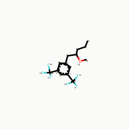 CCCC(Cc1cc(C(F)(F)F)cc(C(F)(F)F)c1)OC